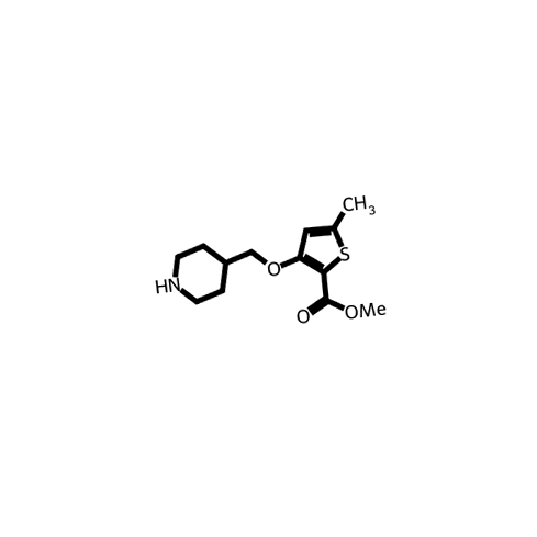 COC(=O)c1sc(C)cc1OCC1CCNCC1